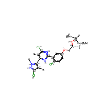 CNC[C@H](COc1ccc(Cl)c(-c2nc(Cl)c(C)c(-c3c(C)c(Cl)nn3C)n2)c1)O[Si](C)(C)C(C)(C)C